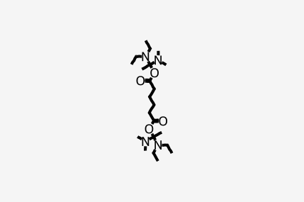 CCN(CC)C(C)(OC(=O)CCCCC(=O)OC(C)(N(C)C)N(CC)CC)N(C)C